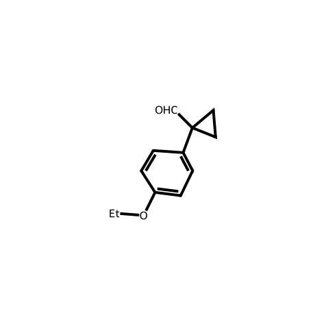 CCOc1ccc(C2(C=O)CC2)cc1